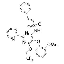 COc1ccccc1Oc1c(NS(=O)(=O)C=Cc2ccccc2)nc(-c2ncccn2)nc1OCC(F)(F)F